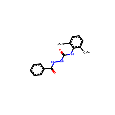 COc1cccc(OC)c1NC(=O)NNC(=O)c1ccccc1